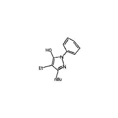 CCCCc1nn(-c2ccccc2)c(O)c1CC